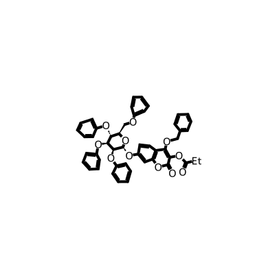 CCC(=O)Oc1c(OCc2ccccc2)c2ccc(O[C@H]3O[C@H](COc4ccccc4)[C@@H](Oc4ccccc4)[C@H](Oc4ccccc4)[C@@H]3Oc3ccccc3)cc2oc1=O